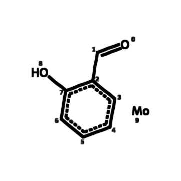 O=Cc1ccccc1O.[Mo]